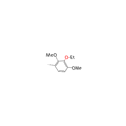 CCOc1c(OC)ccc(C)c1OC